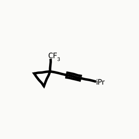 CC(C)C#CC1(C(F)(F)F)CC1